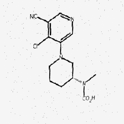 CN(C(=O)O)[C@@H]1CCCN(c2cncc(C#N)c2Cl)C1